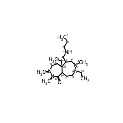 CCCNCC1CN(C)N(CC)CCC2C(=O)N(C)N(C)CC[C@]12CC